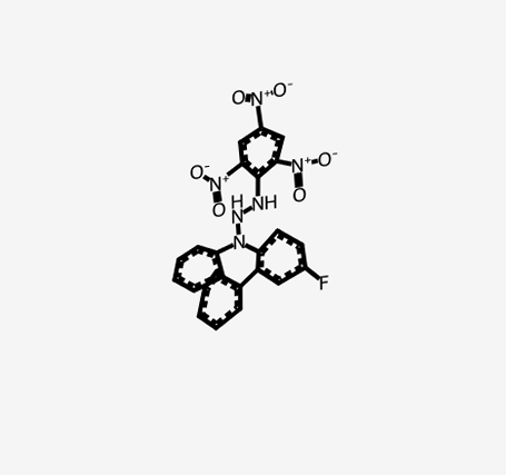 O=[N+]([O-])c1cc([N+](=O)[O-])c(NNN(c2ccccc2)c2ccc(F)cc2-c2ccccc2)c([N+](=O)[O-])c1